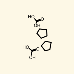 C1CCCC1.C1CCCC1.O=C(O)O.O=C(O)O